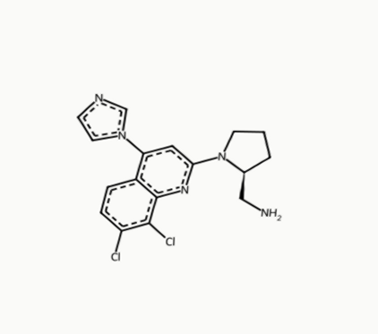 NC[C@@H]1CCCN1c1cc(-n2ccnc2)c2ccc(Cl)c(Cl)c2n1